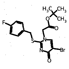 CC(C)(C)OC(=O)Cn1cc(Br)c(=O)nc1SCc1ccc(F)cc1